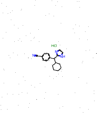 Cl.N#Cc1ccc(C(c2ncc[nH]2)C2CCCCC2)cc1